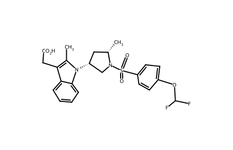 Cc1c(CC(=O)O)c2ccccc2n1[C@@H]1C[C@H](C)N(S(=O)(=O)c2ccc(OC(F)F)cc2)C1